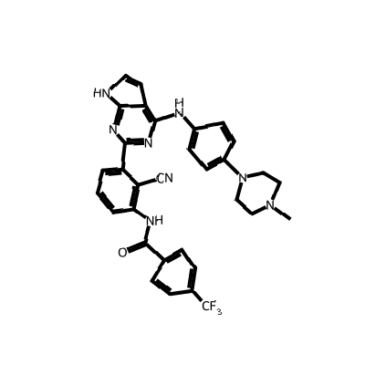 CN1CCN(c2ccc(Nc3nc(-c4cccc(NC(=O)c5ccc(C(F)(F)F)cc5)c4C#N)nc4[nH]ccc34)cc2)CC1